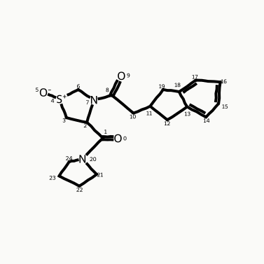 O=C(C1C[S+]([O-])CN1C(=O)CC1Cc2ccccc2C1)N1CCCC1